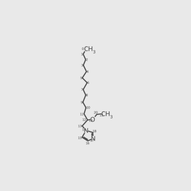 CCCCCCCCCCCCC(Cn1ccnc1)OCC